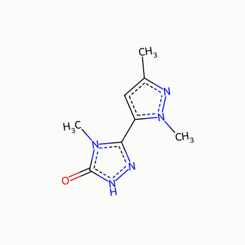 Cc1cc(-c2n[nH]c(=O)n2C)n(C)n1